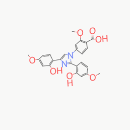 COc1ccc(-c2cn(-c3ccc(C(=O)O)c(OC)c3)c(-c3ccc(OC)cc3O)n2)c(O)c1